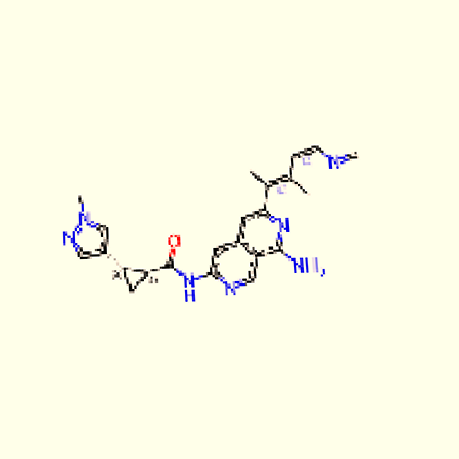 C=N/C=C\C(C)=C(/C)c1cc2cc(NC(=O)[C@H]3C[C@@H]3c3cnn(C)c3)ncc2c(N)n1